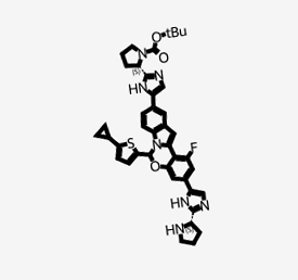 CC(C)(C)OC(=O)N1CCC[C@H]1c1ncc(-c2ccc3c(c2)cc2n3C(c3ccc(C4CC4)s3)Oc3cc(-c4cnc([C@@H]5CCCN5)[nH]4)cc(F)c3-2)[nH]1